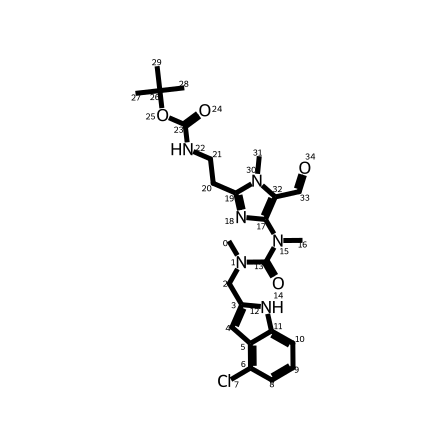 CN(Cc1cc2c(Cl)cccc2[nH]1)C(=O)N(C)c1nc(CCNC(=O)OC(C)(C)C)n(C)c1C=O